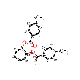 Cc1ccc(C(=O)Oc2c[c]ccc2OC(=O)c2ccc(C)cc2)cc1